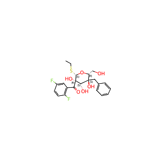 CCS[C@@H]1O[C@H](CO)[C@](O)(Cc2ccccc2)[C@H](O)[C@@]1(O)C(=O)c1cc(F)ccc1F